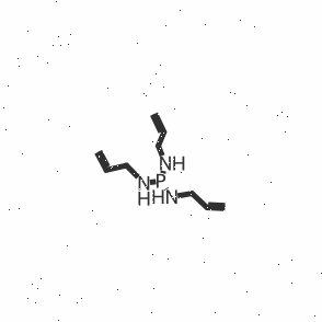 C=CCNP(NCC=C)NCC=C